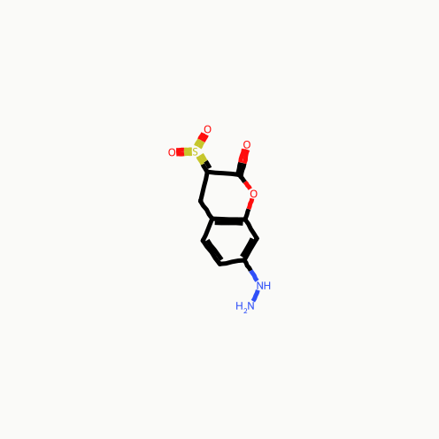 NNc1ccc2c(c1)OC(=O)C(=S(=O)=O)C2